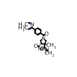 C=NC(=O)[C@]1(C)CN(C(=O)c2ccc(C(=C/C)/N=C\C)cc2)C[C@H]1C(N)=O